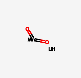 [LiH].[O]=[Mn]=[O]